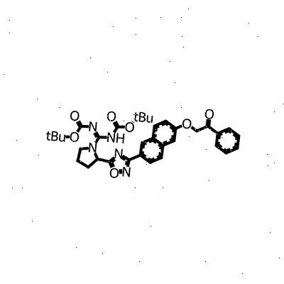 CC(C)(C)OC(=O)N=C(NC(=O)OC(C)(C)C)N1CCCC1c1nc(-c2ccc3cc(OCC(=O)c4ccccc4)ccc3c2)no1